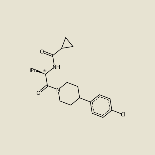 CC(C)[C@@H](NC(=O)C1CC1)C(=O)N1CCC(c2ccc(Cl)cc2)CC1